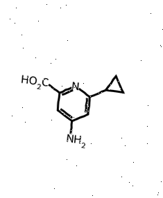 Nc1cc(C(=O)O)nc(C2CC2)c1